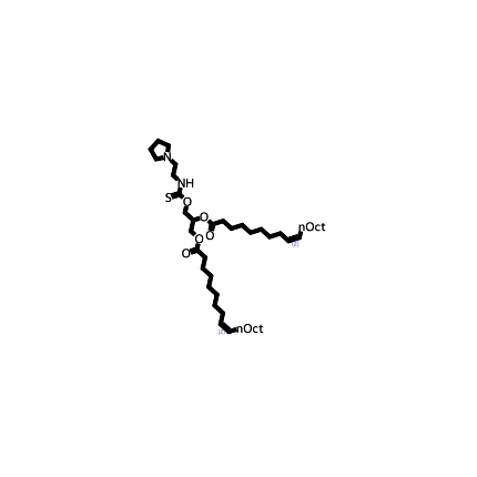 CCCCCCCC/C=C\CCCCCCCC(=O)OCC(COC(=S)NCCN1CCCC1)OC(=O)CCCCCCC/C=C\CCCCCCCC